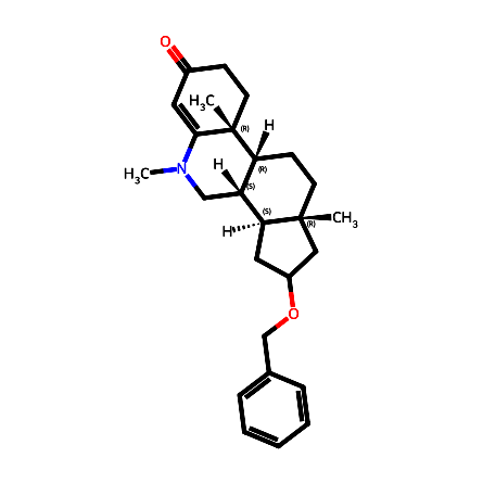 CN1C[C@@H]2[C@@H](CC[C@]3(C)CC(OCc4ccccc4)C[C@@H]23)[C@@]2(C)CCC(=O)C=C12